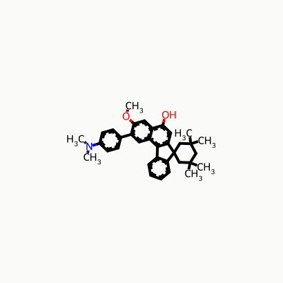 COc1cc2c(O)cc3c(c2cc1-c1ccc(N(C)C)cc1)-c1ccccc1C31CC(C)(C)CC(C)(C)C1